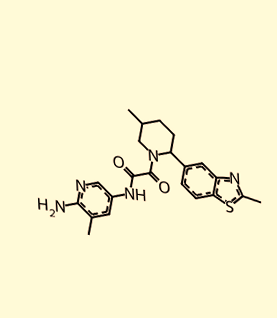 Cc1nc2cc(C3CCC(C)CN3C(=O)C(=O)Nc3cnc(N)c(C)c3)ccc2s1